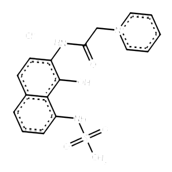 CS(=O)(=O)Nc1cccc2ccc(NC(=O)C[n+]3ccccc3)c(O)c12.[Cl-]